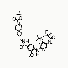 COc1cc(C(=O)NCC2CC3(CCN(C(=O)OC(C)(C)C)CC3)C2)ccc1Nc1ncc2c(n1)N(C(C)C)CC(F)(F)C(=O)N2C